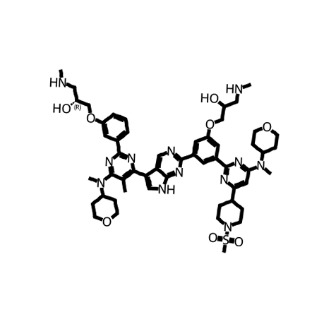 CNCC(O)COc1cc(-c2nc(C3CCN(S(C)(=O)=O)CC3)cc(N(C)C3CCOCC3)n2)cc(-c2ncc3c(-c4nc(-c5cccc(OC[C@H](O)CNC)c5)nc(N(C)C5CCOCC5)c4C)c[nH]c3n2)c1